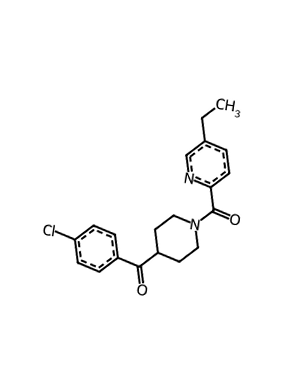 CCc1ccc(C(=O)N2CCC(C(=O)c3ccc(Cl)cc3)CC2)nc1